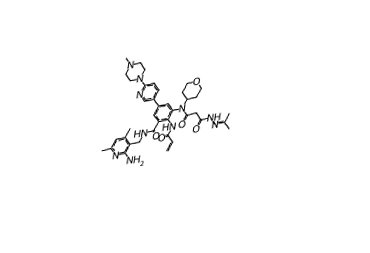 C=CC(=O)Nc1c(C(=O)NCc2c(C)cc(C)nc2N)cc(-c2ccc(N3CCN(C)CC3)nc2)cc1N(C(=O)CC(=O)NN=C(C)C)C1CCOCC1